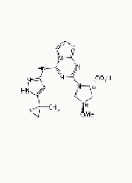 CO[C@@H]1C[C@@H](C(=O)O)N(c2nc(Nc3cc(C4(C)CC4)[nH]n3)n3cccc3n2)C1